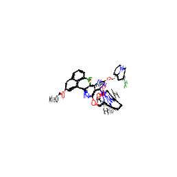 COCOc1cc(-c2nc3c4c(nc(OC[C@]56CCCN5C[C@H](F)C6)nc4c2F)N2C[C@H]4CC[C@@H]([C@H]2CO3)N4C(=O)OC(C)(C)C)c2c(F)cccc2c1